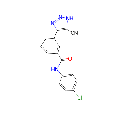 N#Cc1[nH]nnc1-c1cccc(C(=O)Nc2ccc(Cl)cc2)c1